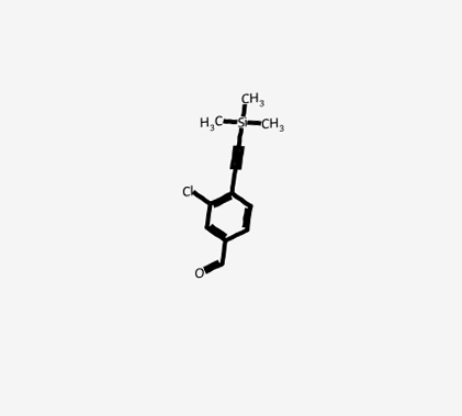 C[Si](C)(C)C#Cc1ccc(C=O)cc1Cl